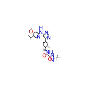 COc1cc(Nc2cc(-c3ccc([C@@H](C)NC(=O)c4nc(C(C)(C)C)no4)c(C)c3)ncn2)ncc1C(C)C